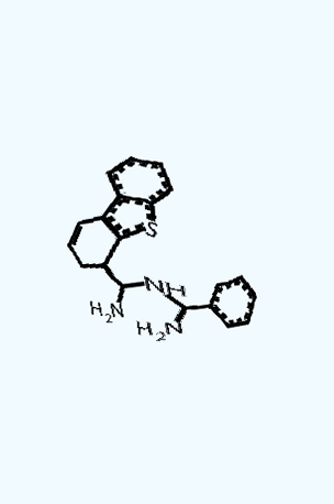 NC(NC(N)C1CC=Cc2c1sc1ccccc21)c1ccccc1